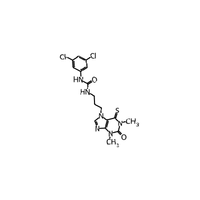 Cn1c(=S)c2c(ncn2CCCNC(=O)Nc2cc(Cl)cc(Cl)c2)n(C)c1=O